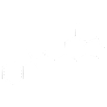 O=S(=O)(NCc1cc(O)n2ncnc2n1)c1ccccc1